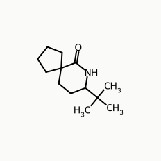 CC(C)(C)C1CCC2(CCCC2)C(=O)N1